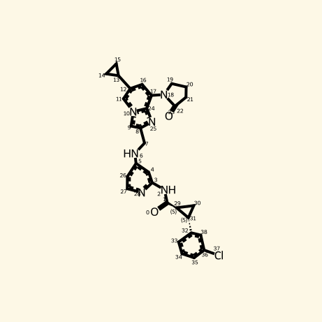 O=C(Nc1cc(NCc2cn3cc(C4CC4)cc(N4CCCC4=O)c3n2)ccn1)[C@H]1C[C@@H]1c1cccc(Cl)c1